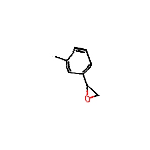 [CH2]c1cccc(C2CO2)c1